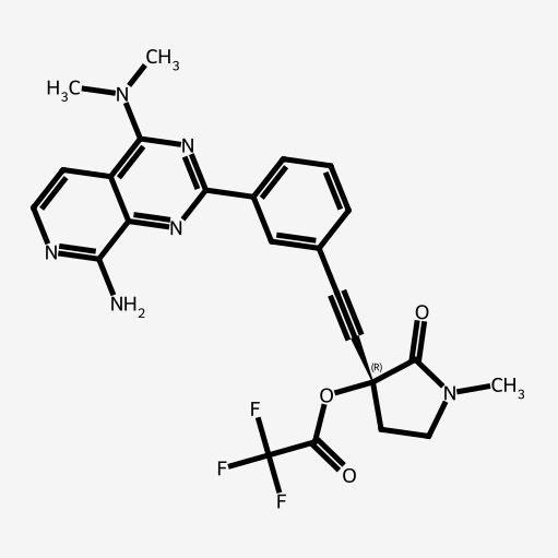 CN1CC[C@](C#Cc2cccc(-c3nc(N(C)C)c4ccnc(N)c4n3)c2)(OC(=O)C(F)(F)F)C1=O